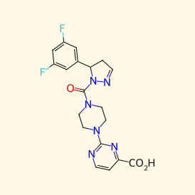 O=C(O)c1ccnc(N2CCN(C(=O)N3N=CCC3c3cc(F)cc(F)c3)CC2)n1